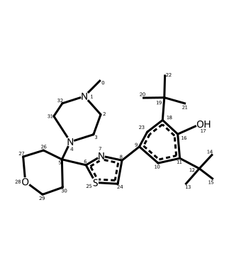 CN1CCN(C2(c3nc(-c4cc(C(C)(C)C)c(O)c(C(C)(C)C)c4)cs3)CCOCC2)CC1